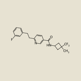 CC1(C(F)(F)F)CC(NC(=O)c2ccc(CCc3cccc(F)c3)nc2)C1